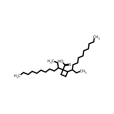 CCCCCCCCCC(CC)C1CCC1(C(O)=S)C(CC)CCCCCCCCC